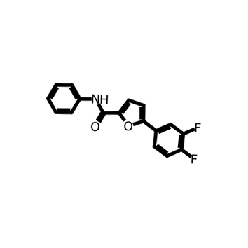 O=C(Nc1ccccc1)c1ccc(-c2ccc(F)c(F)c2)o1